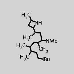 CCC(C)CCC(C)C(C)CC(C)C(CC(C)C1CC(C)N1)NC